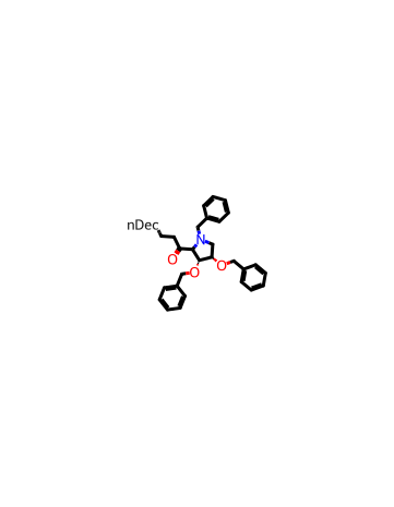 CCCCCCCCCCCCC(=O)C1[C@@H](OCc2ccccc2)[C@H](OCc2ccccc2)CN1Cc1ccccc1